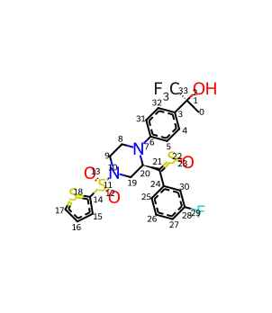 C[C@](O)(c1ccc(N2CCN(S(=O)(=O)c3cccs3)C[C@@H]2C(=S=O)c2cccc(F)c2)cc1)C(F)(F)F